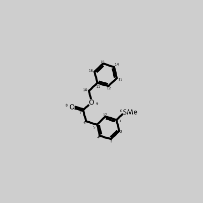 CSc1cccc(CC(=O)OCc2ccccc2)c1